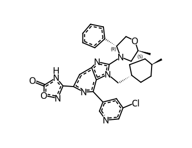 C[C@H]1CN(c2nc3cc(-c4noc(=O)[nH]4)nc(-c4cncc(Cl)c4)c3n2C[C@H]2CC[C@H](C)CC2)[C@H](c2ccccc2)CO1